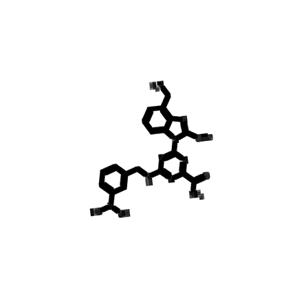 COc1nc2c(CN)cccc2n1-c1nc(NCc2cccc(B(O)O)c2)nc(C(N)=O)n1